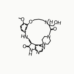 COc1ccc2cc1OCCCN(C)[C@H](CO)C(=O)N1CCN(CC1)c1ncnc3c1/C(=C/N2)C(=O)N3